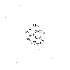 C=C1c2c(ccc3ccccc23)SCC1C